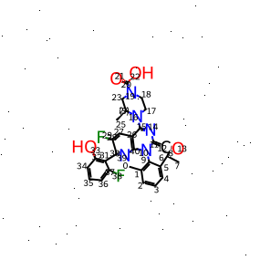 Cc1cccc(C(C)C)c1N1C(=C=O)N=C(N2CCN(C(=O)O)C[C@@H]2C)c2cc(F)c(-c3c(O)cccc3F)nc21